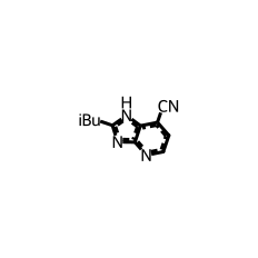 CCC(C)c1nc2nccc(C#N)c2[nH]1